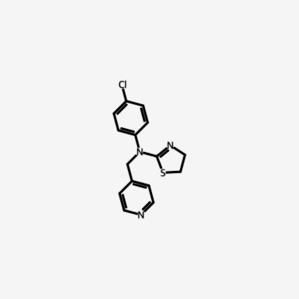 Clc1ccc(N(Cc2ccncc2)C2=NCCS2)cc1